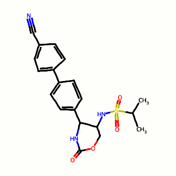 CC(C)S(=O)(=O)NC1COC(=O)NC1c1ccc(-c2ccc(C#N)cc2)cc1